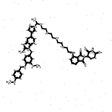 [CH2]C(OCCOCCOCCOCCNc1cccc2c1C(=O)N(C1CCC(=O)NC1=O)C2=O)n1cc(-c2cnc3c(c2)nc(N)n3Cc2ccc(OCc3ccc(OC)cc3)c(OC)c2)cn1